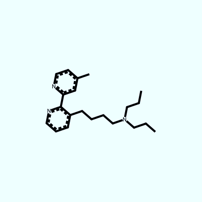 CCCN(CCC)CCCCc1cccnc1-c1cc(C)ccn1